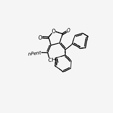 CCCCCC(C)=C1C(=O)OC(=O)C1=C(c1ccccc1)c1ccccc1